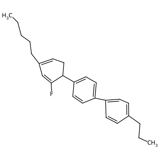 CCCCCC1=CCC(c2ccc(-c3ccc(CCC)cc3)cc2)C(F)=C1